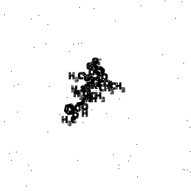 CCOC(=O)C1=C(C)NC(CN(C)CC(C)(C)NCC(O)COc2ccccc2OC)=C(C(=O)OCC)C1c1cccc([N+](=O)[O-])c1